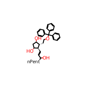 CCCCCC(O)/C=C/[C@@H]1[C@@H](CCOC(c2ccccc2)(c2ccccc2)c2ccccc2)[C@H](O)C[C@@H]1O